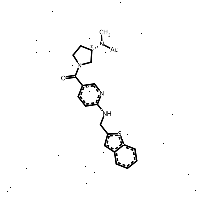 CC(=O)N(C)[C@H]1CCN(C(=O)c2ccc(NCc3cc4ccccc4s3)nc2)C1